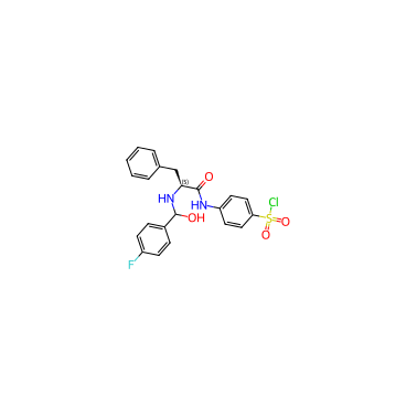 O=C(Nc1ccc(S(=O)(=O)Cl)cc1)[C@H](Cc1ccccc1)NC(O)c1ccc(F)cc1